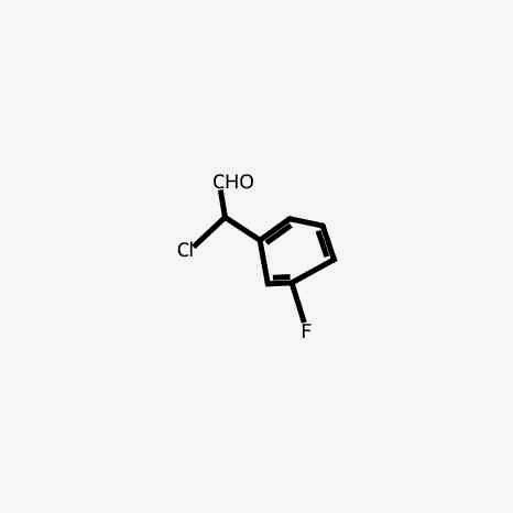 O=CC(Cl)c1cccc(F)c1